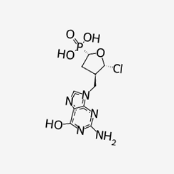 Nc1nc(O)c2ncn(C[C@H]3C[C@H](P(=O)(O)O)O[C@@H]3Cl)c2n1